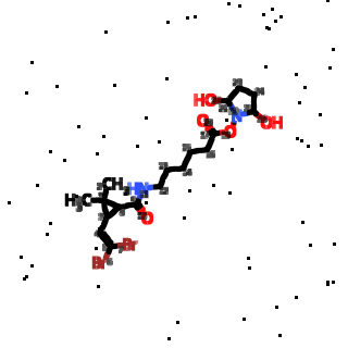 CC1(C)C(C=C(Br)Br)C1C(=O)NCCCCCC(=O)ON1C(O)CCC1O